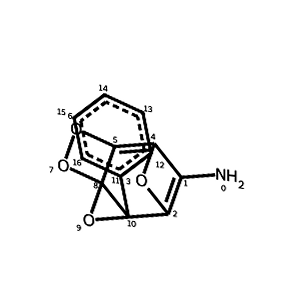 NC1=C2OC1=C1OOC13OC23c1ccccc1